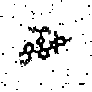 COc1c(F)cccc1-c1cncc(-c2nc3c(F)cc(F)cc3[nH]2)c1N1CC(C(C)N)C1